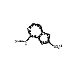 CCOC(=O)c1cc2ccnc(NC(C)(C)C)c2s1